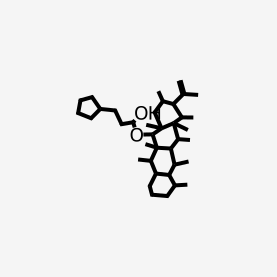 C=C(C)C1C(C)CC2(C)C(OC(O)CCC3CCCC3)C3(C)C(C)C4CCCC(C)C4C(C)C3C(C)C2(C)C1C